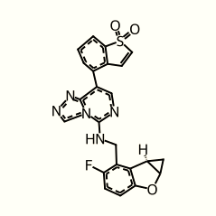 O=S1(=O)C=Cc2c(-c3cnc(NCc4c(F)ccc5c4[C@H]4CC4O5)n4cnnc34)cccc21